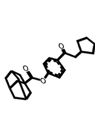 O=C(CC1CCCC1)c1ccc(OC(=O)C23CC4CC(CC(C4)C2)C3)cc1